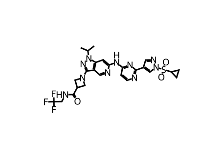 CC(C)n1nc(N2CC(C(=O)NCC(F)(F)F)C2)c2cnc(Nc3ccnc(-c4cnn(S(=O)(=O)C5CC5)c4)n3)cc21